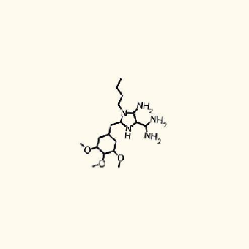 CCCCN1C(CC2CC(OC)C(OC)C(OC)C2)NC(C(N)N)C1N